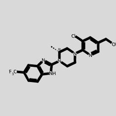 C[C@@H]1CN(c2ncc(CO)cc2Cl)CCN1c1nc2cc(C(F)(F)F)ccc2[nH]1